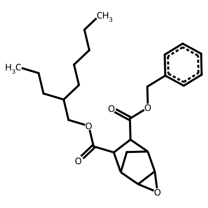 CCCCCC(CCC)COC(=O)C1C2CC(C3OC23)C1C(=O)OCc1ccccc1